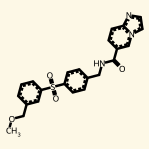 COCc1cccc(S(=O)(=O)c2ccc(CNC(=O)c3ccc4nccn4c3)cc2)c1